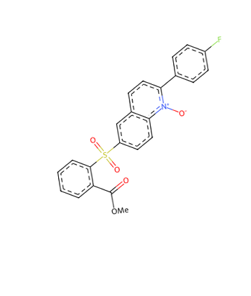 COC(=O)c1ccccc1S(=O)(=O)c1ccc2c(ccc(-c3ccc(F)cc3)[n+]2[O-])c1